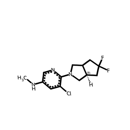 CNc1cnc(N2CC3CC(F)(F)C[C@H]3C2)c(Cl)c1